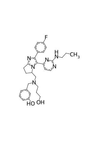 CCCNc1nccc(-c2c(-c3ccc(F)cc3)nc3n2C(CN(CCCO)Cc2cccc(O)c2)CC3)n1